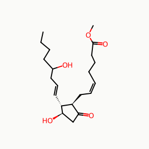 CCCCC(O)C/C=C/[C@H]1[C@H](O)CC(=O)[C@@H]1C/C=C\CCCC(=O)OC